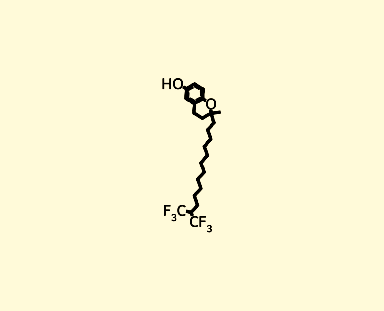 CC1(CCCCCCCCCCCC(C(F)(F)F)C(F)(F)F)CCc2cc(O)ccc2O1